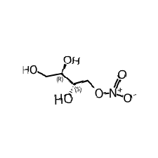 O=[N+]([O-])OC[C@H](O)[C@H](O)CO